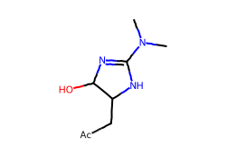 CC(=O)CC1NC(N(C)C)=NC1O